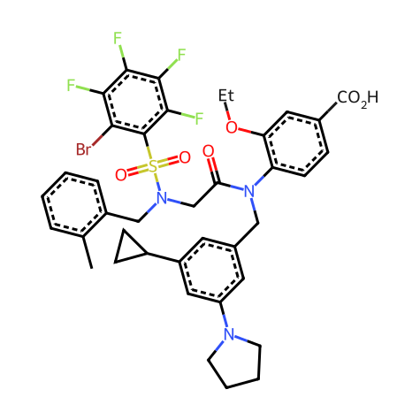 CCOc1cc(C(=O)O)ccc1N(Cc1cc(C2CC2)cc(N2CCCC2)c1)C(=O)CN(Cc1ccccc1C)S(=O)(=O)c1c(F)c(F)c(F)c(F)c1Br